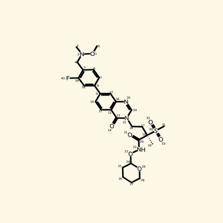 CON(C)Cc1ccc(-c2ccc3c(=O)n(CC[C@](C)(C(=O)NOC4CCCCO4)S(C)(=O)=O)cnc3c2)cc1F